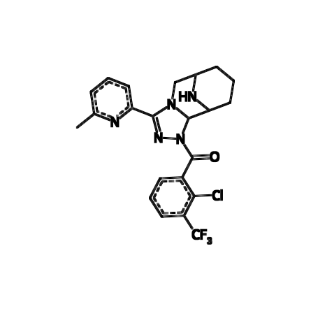 Cc1cccc(C2=NN(C(=O)c3cccc(C(F)(F)F)c3Cl)C3C4CCCC(CN23)N4)n1